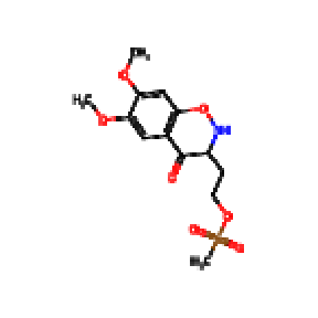 COc1cc2c(cc1OC)C(=O)C(CCOS(C)(=O)=O)NO2